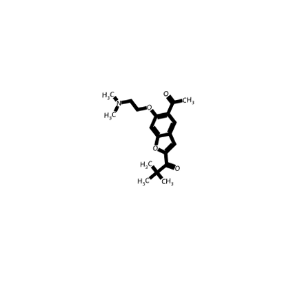 CC(=O)c1cc2cc(C(=O)C(C)(C)C)oc2cc1OCCN(C)C